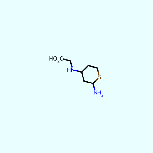 NC1CC(NCC(=O)O)CCS1